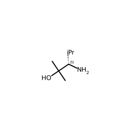 CC(C)[C@H](N)C(C)(C)O